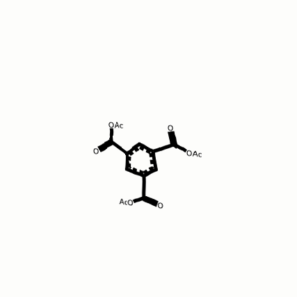 CC(=O)OC(=O)c1cc(C(=O)OC(C)=O)cc(C(=O)OC(C)=O)c1